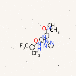 CC(NC(=O)c1cc(C(F)(F)F)cc(C(F)(F)F)c1)c1nc2cccnc2n1-c1ccc(C(=O)N(C)C)cn1